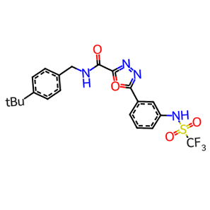 CC(C)(C)c1ccc(CNC(=O)c2nnc(-c3cccc(NS(=O)(=O)C(F)(F)F)c3)o2)cc1